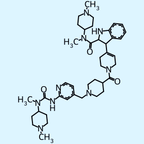 CN1CCC(N(C)C(=O)Nc2cc(CN3CCC(C(=O)N4CC=C(C5c6ccccc6NC5C(=O)N(C)C5CCN(C)CC5)CC4)CC3)ccn2)CC1